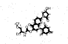 CCC(COC(F)(F)F)NC(=O)Oc1cn(-c2c(F)cc(F)cc2F)c2nc(N3C[C@@H](O)CC3=O)ccc2c1=O